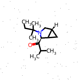 CCC(C)(C)N1C[C@@H]2CC2[C@H]1C(=O)C(C)C